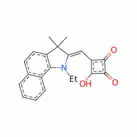 CCN1C(=Cc2c(O)c(=O)c2=O)C(C)(C)c2ccc3ccccc3c21